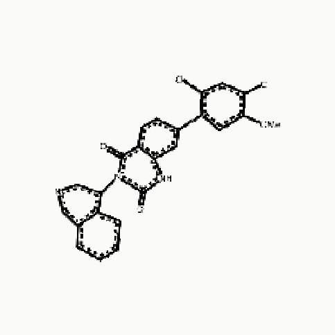 COc1cc(-c2ccc3c(=O)n(-c4cncc5ccccc45)c(=O)[nH]c3c2)c(Cl)cc1Cl